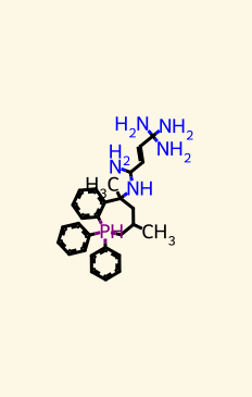 CC1CC(C)(NC(N)/C=C/C(N)(N)N)c2ccccc2[PH](c2ccccc2)(c2ccccc2)C1